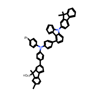 CCCCCCCCC1(C)c2cc(C)ccc2-c2ccc(-c3ccc(N(c4ccc(-c5cccc6c5c5ccccc5n6-c5ccc6c(c5)C(C)(C)c5ccccc5-6)cc4)c4ccc(C(C)C)cc4)cc3)cc21